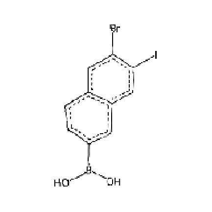 OB(O)c1ccc2cc(Br)c(I)cc2c1